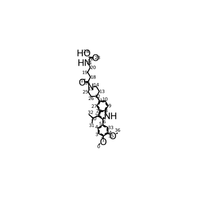 COc1ccc(-c2[nH]c3ccc(C4CCN(C(=O)CCCNC(=O)O)CC4)cc3c2C(C)C)cc1OC